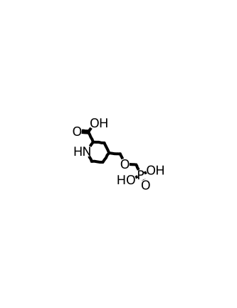 O=C(O)C1CC(COCP(=O)(O)O)CCN1